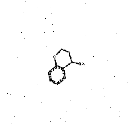 O=[N+]([O-])C1CCOc2ccccc21